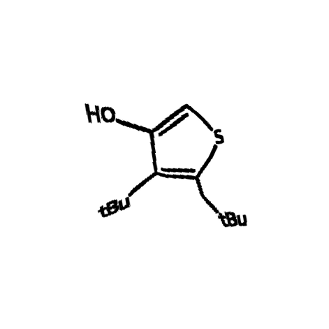 CC(C)(C)c1scc(O)c1C(C)(C)C